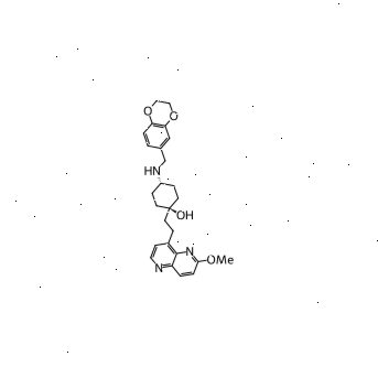 COc1ccc2nccc(CC[C@]3(O)CC[C@H](NCc4ccc5c(c4)OCCO5)CC3)c2n1